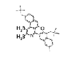 Bc1nc2c3c(cc4ccc(CC(C)(C)C)cc4c3c1B)Oc1c-2cc2cc(C)ccc2c1CC(C)(C)C